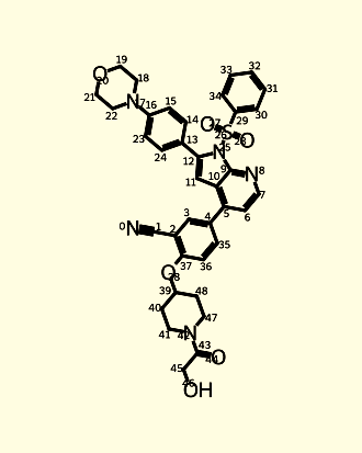 N#Cc1cc(-c2ccnc3c2cc(-c2ccc(N4CCOCC4)cc2)n3S(=O)(=O)c2ccccc2)ccc1OC1CCN(C(=O)CO)CC1